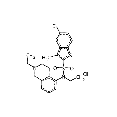 CCN1CCc2c(cccc2N(CC)S(=O)(=O)c2sc3ccc(Cl)cc3c2C)C1.Cl